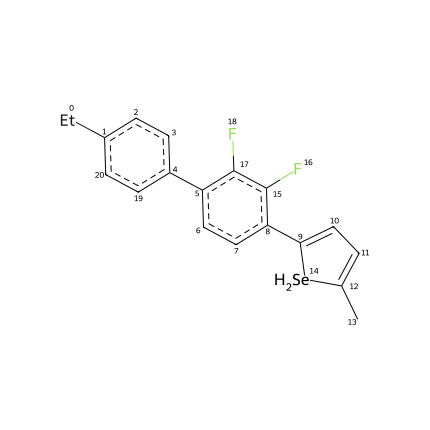 CCc1ccc(-c2ccc(C3=CC=C(C)[SeH2]3)c(F)c2F)cc1